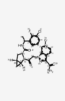 CC(NC(=O)[C@@H]1C[C@H]2C[C@H]2N1C(=O)Cn1nc(C(N)=O)c2cc[n+]([O-])cc21)c1cccc(Cl)c1F